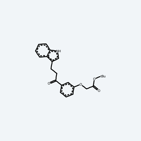 CC(C)(C)OC(=O)COc1cccc(C(=O)CCc2c[nH]c3ccccc23)c1